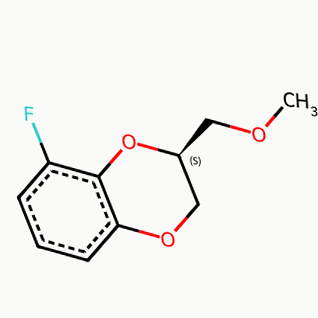 COC[C@H]1COc2cccc(F)c2O1